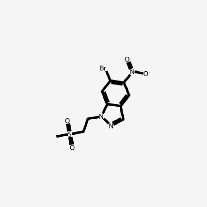 CS(=O)(=O)CCn1ncc2cc([N+](=O)[O-])c(Br)cc21